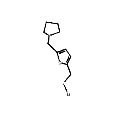 C[CH]SCc1ccc(CN2CCCC2)o1